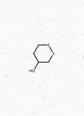 OC1[CH]CSSC1